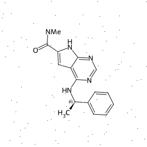 CNC(=O)c1cc2c(N[C@H](C)c3ccccc3)ncnc2[nH]1